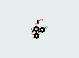 OCCO[C@@H]1CC[C@@]2(Cc3ccc(Cl)cc3)c3c(F)ccc(F)c3OC[C@H]2C1